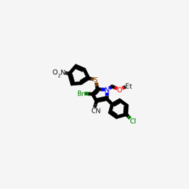 CCOCn1c(Sc2ccc([N+](=O)[O-])cc2)c(Br)c(C#N)c1-c1ccc(Cl)cc1